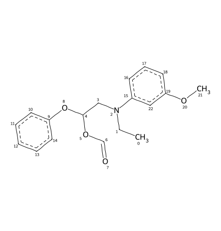 CCN(CC(OC=O)Oc1ccccc1)c1cccc(OC)c1